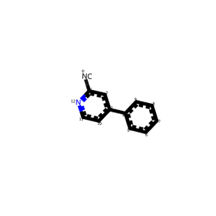 [C-]#[N+]c1cc(-c2ccccc2)ccn1